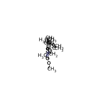 C=N/C(=N\C=C(/C)N1CCC([C@H]2CC[C@H](CCC)CC2)CC1)c1ccc(CC(NC(=O)c2ccc(C(C)(C)C)s2)C(=O)NS(=O)(=O)C(C)(C)C)cc1